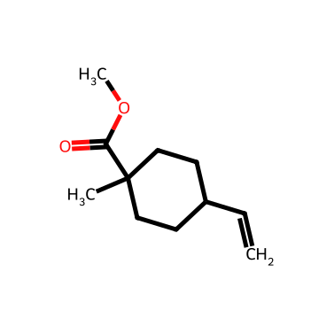 C=CC1CCC(C)(C(=O)OC)CC1